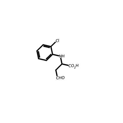 O=CCC(Nc1ccccc1Cl)C(=O)O